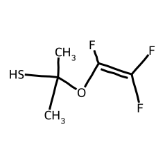 CC(C)(S)OC(F)=C(F)F